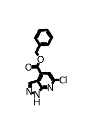 O=C(OCc1ccccc1)c1cc(Cl)nc2[nH]ncc12